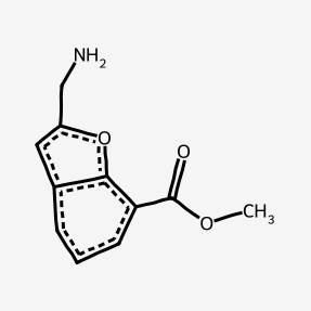 COC(=O)c1cccc2cc(CN)oc12